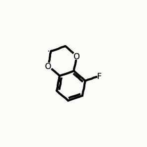 Fc1cccc2c1OC[CH]O2